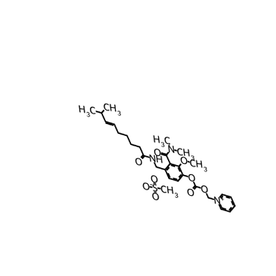 COc1c(OC(=O)OC[n+]2ccccc2)ccc(CNC(=O)CCCC/C=C/C(C)C)c1C(=O)N(C)C.CS(=O)(=O)[O-]